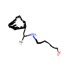 CC(NCCCCO)c1ccccc1